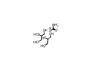 NC(=O)O.OCC(O)CO.OCC(O)CO